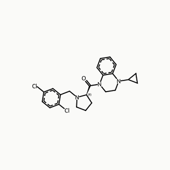 O=C([C@H]1CCCN1Cc1cc(Cl)ccc1Cl)N1CCN(C2CC2)c2ccccc21